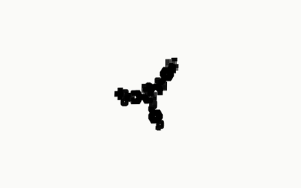 COc1ccc(COc2cc(C3CCN(C(=O)OC(C)(C)C)CC3)n3ncc(-c4sc(-c5ccc(C(F)(F)F)cc5)nc4C)c3n2)cc1